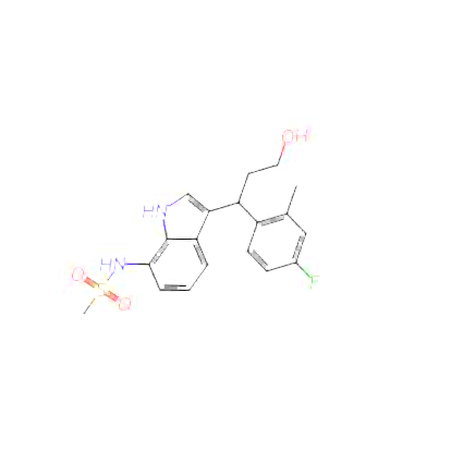 Cc1cc(F)ccc1C(CCO)c1c[nH]c2c(NS(C)(=O)=O)cccc12